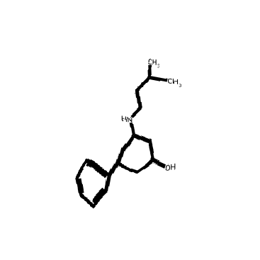 CC(C)CCNC1CC(O)CC(c2ccccc2)C1